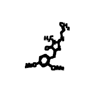 C=CC/N=C1/S/C(=C/c2ccc(OC)cc2OC)C(=O)N1C